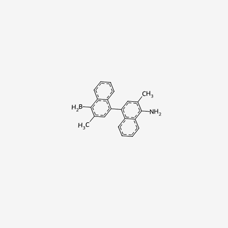 Bc1c(C)cc(-c2cc(C)c(N)c3ccccc23)c2ccccc12